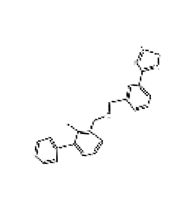 Cc1c(COCc2cccc(-c3nn[nH]n3)c2)cccc1-c1ccccc1